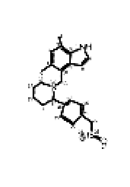 Cc1cc(C)c2[nH]ccc2c1CN1CCCCC1c1ccc(C[SH](=O)=O)cc1